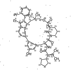 CCn1c(-c2cccnc2C(C)C)c2c3cc(ccc31)-c1cc(O)cc(c1)C[C@H](NC(=O)[C@H](C1CCCC1)N(C)C)C(=O)N1CCC[C@H](N1)C(=O)OCC(C)(C)C2